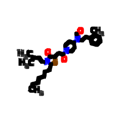 CCCCCCCC1SC(CC(=O)N2CCC(N(C=O)CCc3ccccc3C)CC2)C(=O)N1CCC(C)C